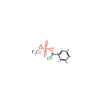 O=S(=O)(OC(Cl)c1ccccc1)OC(F)(F)F